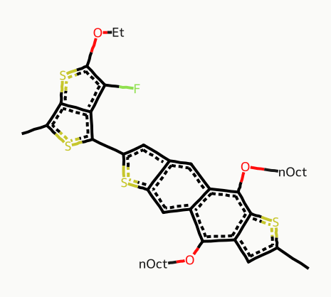 CCCCCCCCOc1c2cc3sc(-c4sc(C)c5sc(OCC)c(F)c45)cc3cc2c(OCCCCCCCC)c2sc(C)cc12